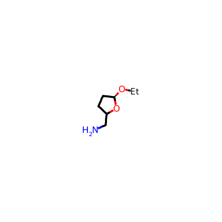 CCO[C@@H]1CCC(CN)O1